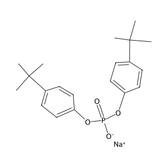 CC(C)(C)c1ccc(OP(=O)([O-])Oc2ccc(C(C)(C)C)cc2)cc1.[Na+]